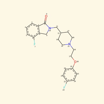 O=C1c2cccc(F)c2CN1CC1CCN(CCOc2ccc(F)cc2)CC1